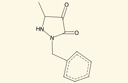 CC1NN(Cc2ccccc2)C(=O)C1=O